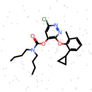 CCCCN(CCCC)C(=O)Oc1cc(Cl)nnc1Oc1c(C)cccc1C1CC1